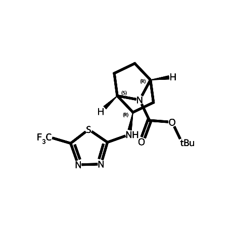 CC(C)(C)OC(=O)N1[C@@H]2CC[C@H]1[C@H](Nc1nnc(C(F)(F)F)s1)C2